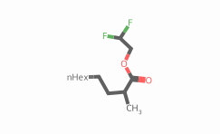 CCCCCCCCC(C)C(=O)OCC(F)F